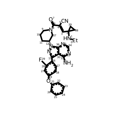 CCNC1(C=C(C#N)C(=O)N2CCC[C@@H](n3nc(-c4ccc(Oc5ccccc5)cc4F)c4c(N)ncnc43)C2)CC1